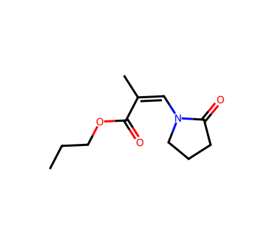 CCCOC(=O)C(C)=CN1CCCC1=O